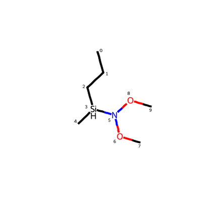 CCC[SiH](C)N(OC)OC